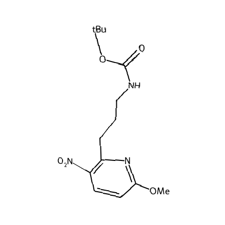 COc1ccc([N+](=O)[O-])c(CCCNC(=O)OC(C)(C)C)n1